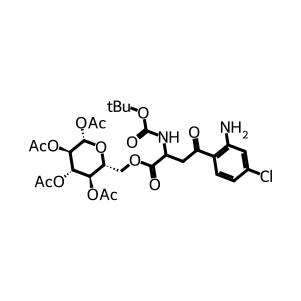 CC(=O)O[C@@H]1O[C@H](COC(=O)C(CC(=O)c2ccc(Cl)cc2N)NC(=O)OC(C)(C)C)[C@@H](OC(C)=O)[C@H](OC(C)=O)[C@H]1OC(C)=O